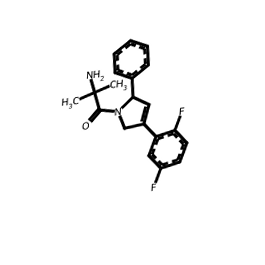 CC(C)(N)C(=O)N1CC(c2cc(F)ccc2F)=CC1c1ccccc1